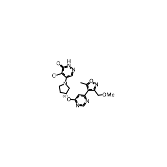 COCc1noc(C)c1-c1cc(O[C@@H]2CCN(c3cn[nH]c(=O)c3Cl)C2)ncn1